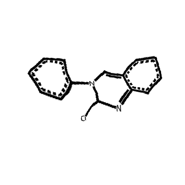 ClC1N=c2ccccc2=CN1c1ccccc1